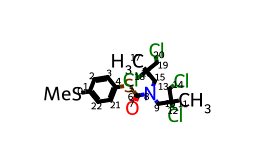 CSc1ccc(SC(=O)N(CC(C)(Cl)CCl)CC(C)(Cl)CCl)cc1